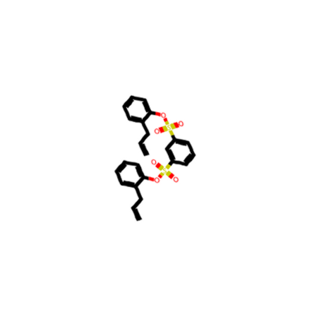 C=CCc1ccccc1OS(=O)(=O)c1cccc(S(=O)(=O)Oc2ccccc2CC=C)c1